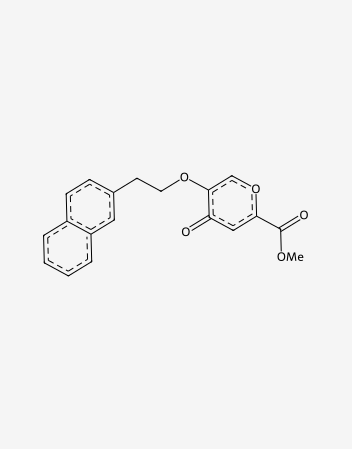 COC(=O)c1cc(=O)c(OCCc2ccc3ccccc3c2)co1